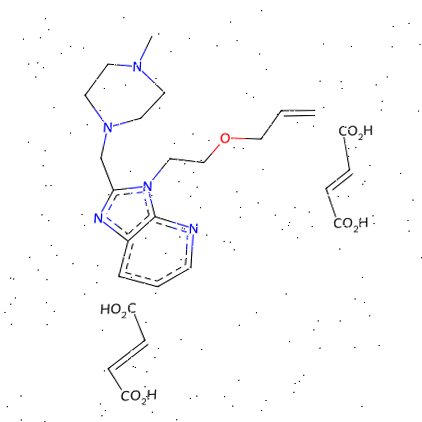 C=CCOCCn1c(CN2CCN(C)CC2)nc2cccnc21.O=C(O)C=CC(=O)O.O=C(O)C=CC(=O)O